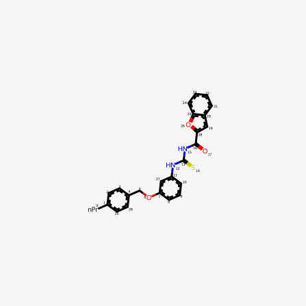 CCCc1ccc(COc2cccc(NC(=S)NC(=O)c3cc4ccccc4o3)c2)cc1